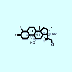 CC(=O)O[C@]1(C(=O)CCl)[C@@H](C)C[C@H]2[C@@H]3CCC4=C(F)C(=O)C=C[C@]4(C)[C@@]3(Cl)[C@@H](O)C[C@@]21C